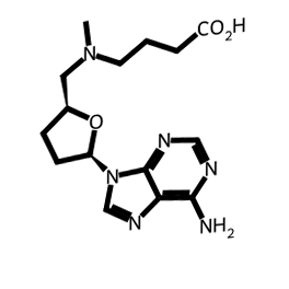 CN(CCCC(=O)O)C[C@@H]1CC[C@H](n2cnc3c(N)ncnc32)O1